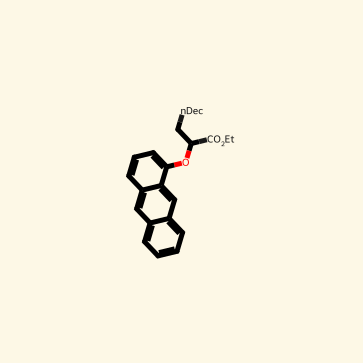 CCCCCCCCCCCC(Oc1cccc2cc3ccccc3cc12)C(=O)OCC